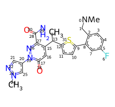 CNCc1ccc(F)cc1-c1ccc(C(C)c2cc(=O)n(-c3cnn(C)c3)nc2C(N)=O)s1